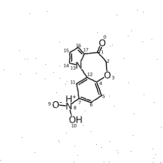 O=C1COc2ccc([NH+]([O-])O)cc2-n2cccc21